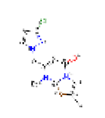 CCN1C(Cn2ccc(Cl)n2)=CC(=O)N2C=C(C)SC21